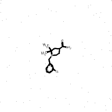 CC1(C)CC(C(N)=O)CCN1Cc1cccc(Cl)c1